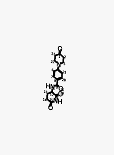 O=C1CCN(c2ccc(C(=O)NC3CCC(=O)NC3=O)cc2)CC1